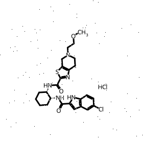 COCCN1CCc2nc(C(=O)N[C@H]3CCCC[C@H]3NC(=O)c3cc4cc(Cl)ccc4[nH]3)sc2C1.Cl